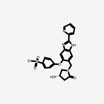 CCS(=O)(=O)c1ccc(Oc2cc3nc(-c4ccccn4)[nH]c3cc2CN2C[C@@H](O)CC2=O)cc1